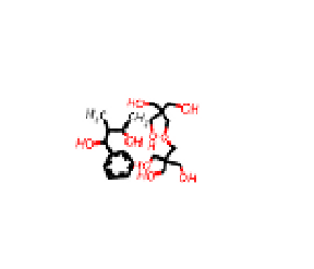 CC(O)C(C)C(O)c1ccccc1.OCC(CO)(CO)COCC(CO)(CO)CO